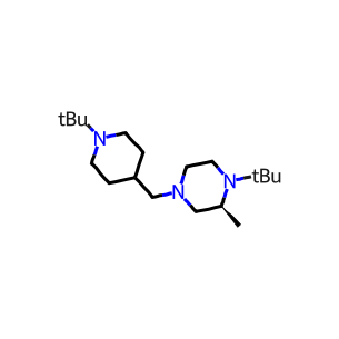 C[C@H]1CN(CC2CCN(C(C)(C)C)CC2)CCN1C(C)(C)C